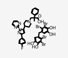 CC(CN1CCC(c2cc(-c3ccc(F)cc3)nn2-c2ncccn2)CC1)(C(=O)O)c1ccccc1.Oc1cc(Cc2cc(O)c(O)c(Br)c2Br)c(Br)c(Br)c1O